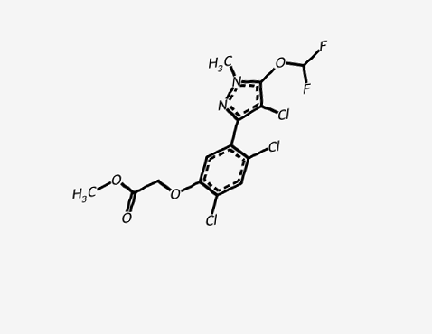 COC(=O)COc1cc(-c2nn(C)c(OC(F)F)c2Cl)c(Cl)cc1Cl